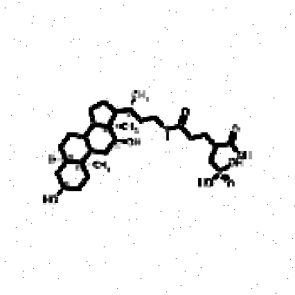 C[C@H](CCNC(=O)CCC(CP(=O)(O)O)C(=O)O)C1CCC2C3CC[C@@H]4C[C@H](O)CC[C@]4(C)C3C[C@H](O)[C@@]21C